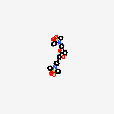 O=c1c2ccc(-c3ccc(N4c5ccccc5S(=O)(=O)c5ccccc54)cc3)cc2oc2cccc(-c3ccc(N4c5ccccc5S(=O)(=O)c5ccccc54)cc3)c12